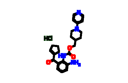 Cl.Nc1cccc(C(=O)C2=CCCC2)c1NC(=O)OCC1CCN(c2ccncc2)CC1